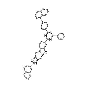 c1ccc(-c2nc(-c3ccc(-c4cccc5ccccc45)cc3)nc(-c3ccc4c(c3)oc3cc5nc(-c6ccc7ccccc7c6)oc5cc34)n2)cc1